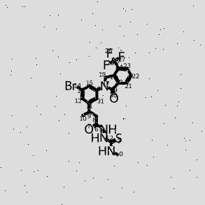 CNC(=S)NNC(=O)CC(C)c1cc(Br)cc(N2Cc3c(cccc3C(F)(F)F)C2=O)c1